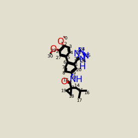 COc1ccc(-c2ccc(NC(=O)C3(CC(C)C)CC3)cc2-c2nnn[nH]2)cc1OC